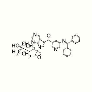 CC(C)(CCC1(n2cc(C(=O)c3cncc(N=C(c4ccccc4)c4ccccc4)c3)c3cncnc32)COC1)[Si](C)(C)O